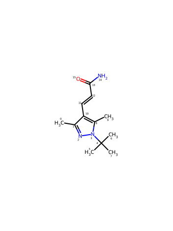 Cc1nn(C(C)(C)C)c(C)c1/C=C/C(N)=O